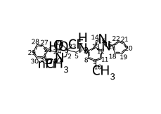 CCCN(CC(O)(CNc1cc(C)cc2c1cnn2-c1ccccc1)C(F)(F)F)C(=O)c1ccccc1C